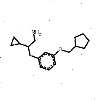 NCC(Cc1cccc(OCC2CCCC2)c1)C1CC1